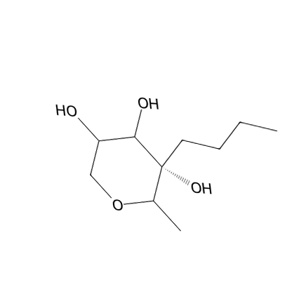 CCCC[C@@]1(O)C(C)OCC(O)C1O